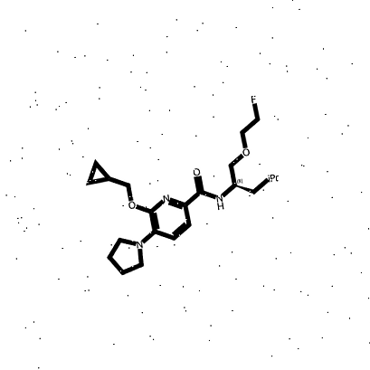 CC(C)C[C@H](COCCF)NC(=O)c1ccc(N2CCCC2)c(OCC2CC2)n1